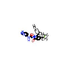 CC(C)c1nn(CC(=O)Nc2ccc3nncn3c2)c(=O)c2ccc(C(C)(C)F)cc12